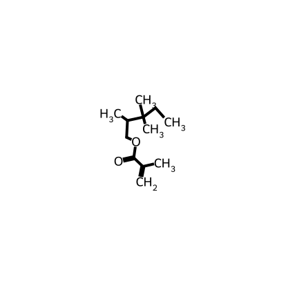 C=C(C)C(=O)OCC(C)C(C)(C)CC